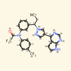 N#CCC(c1cccc(N(C(=O)C(F)(F)F)c2ccc(C(F)(F)F)cc2)c1)n1cc(-c2ncnc3[nH]ccc23)cn1